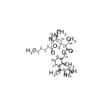 CCCCCC(=O)OCC(Cc1cncn1C)C(CC)C(=O)OCc1cccc([C@H](C)c2c[nH]cn2)c1C